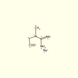 CN(CC(=O)[O-])C(=N)N.[Na+]